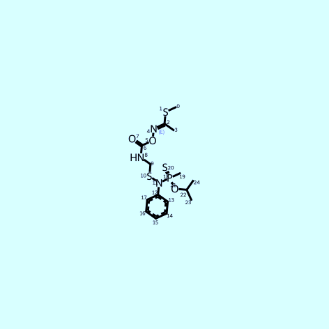 CS/C(C)=N/OC(=O)NCSN(c1ccccc1)P(C)(=S)OC(C)C